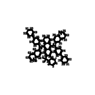 CC1(C)c2ccccc2-c2cc3c(N(c4ccc(-c5ccccc5)cc4)c4ccc5ncccc5c4)c4ccccc4c(N(c4ccc(-c5ccccc5)cc4)c4ccc5ncccc5c4)c3cc21